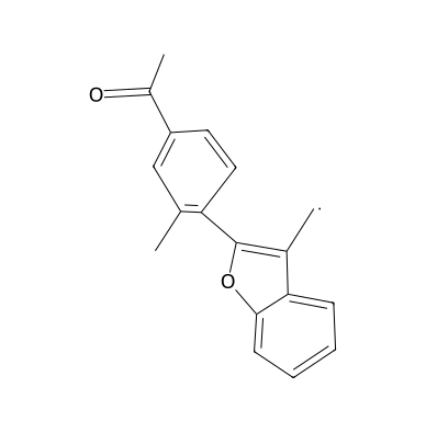 [CH2]c1c(-c2ccc(C(C)=O)cc2C)oc2ccccc12